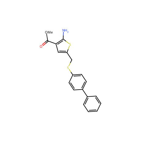 COC(=O)c1cc(CSc2ccc(-c3ccccc3)cc2)sc1N